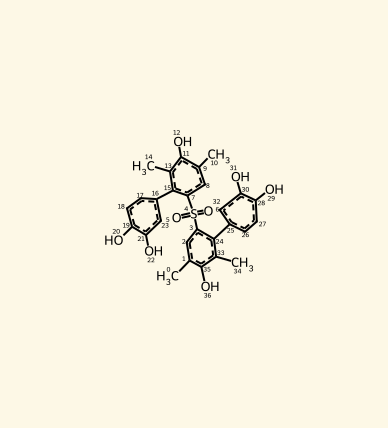 Cc1cc(S(=O)(=O)c2cc(C)c(O)c(C)c2-c2ccc(O)c(O)c2)c(-c2ccc(O)c(O)c2)c(C)c1O